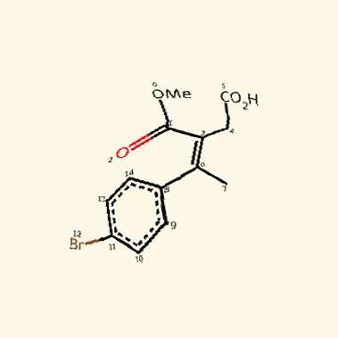 COC(=O)C(CC(=O)O)=C(C)c1ccc(Br)cc1